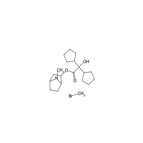 CBr.CN1C2CCC1C(OC(=O)C(O)(C1CCCC1)C1CCCC1)C2